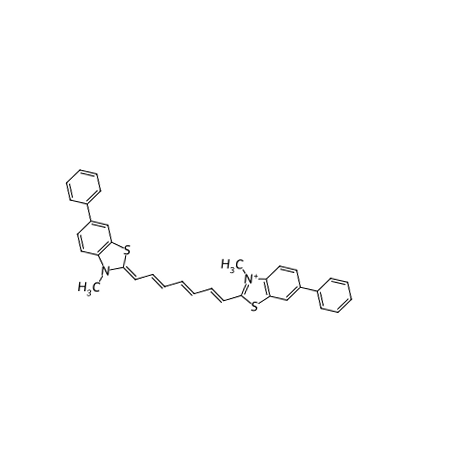 CN1/C(=C/C=C/C=C/C=C/c2sc3cc(-c4ccccc4)ccc3[n+]2C)Sc2cc(-c3ccccc3)ccc21